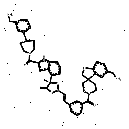 C[C@@]1(c2cccc3[nH]c(C(=O)N4CCC(c5cccc(CN)c5)CC4)cc23)OB(C=Cc2cccc(C(=O)N3CCC4(CC3)COc3ccc(CN)cc34)c2)OC1=O